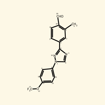 Cc1cc(-c2ncn(-c3ccc(OC(F)(F)F)cc3)n2)ccc1C=O